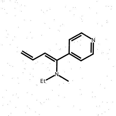 C=C/C=C(/c1ccncc1)N(C)CC